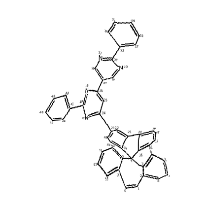 C1=Cc2ccccc2C2(c3ccccc31)c1ccccc1-c1cc(-c3cc(-c4cnc(-c5ccccc5)nc4)nc(-c4ccccc4)n3)ccc12